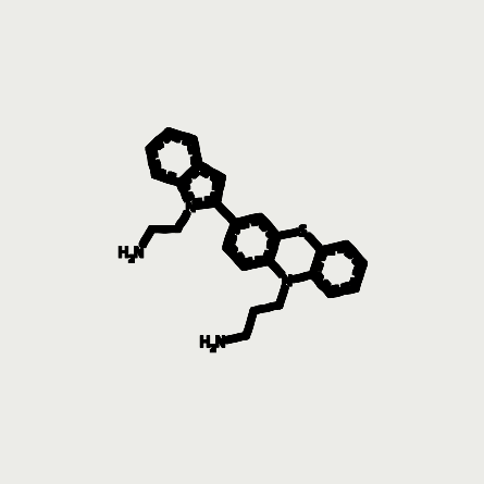 NCCCN1c2ccccc2Sc2cc(-c3cc4ccccc4n3CCN)ccc21